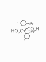 CC(C)[C@@H]1CC[C@@H](C)C[C@H]1C(C(=O)O)=C(C(=O)O)[C@@H]1C[C@H](C)CC[C@H]1C(C)C